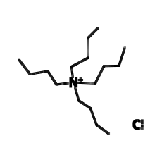 CCCC[N+](CCCC)(CCCC)CCCC.[C]